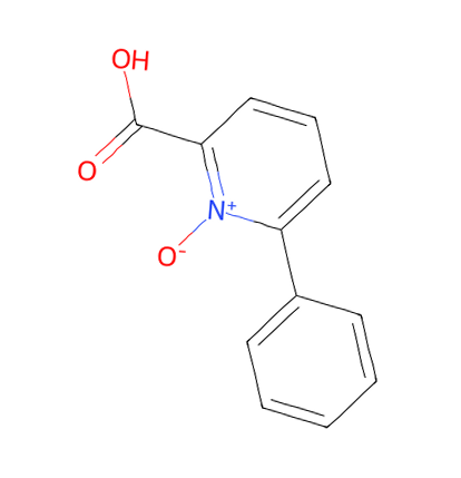 O=C(O)c1cccc(-c2ccccc2)[n+]1[O-]